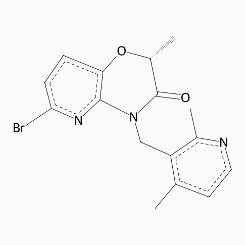 Cc1ccnc(C)c1CN1C(=O)[C@@H](C)Oc2ccc(Br)nc21